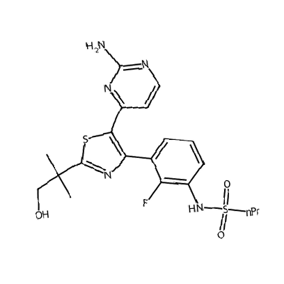 CCCS(=O)(=O)Nc1cccc(-c2nc(C(C)(C)CO)sc2-c2ccnc(N)n2)c1F